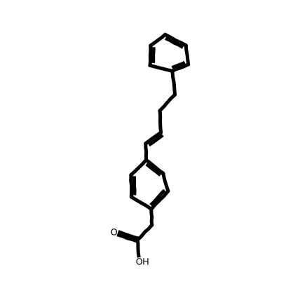 O=C(O)Cc1ccc(C=CCCc2ccccc2)cc1